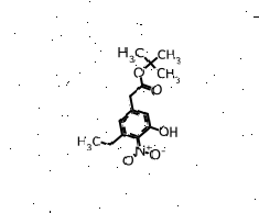 CCc1cc(CC(=O)OC(C)(C)C)cc(O)c1[N+](=O)[O-]